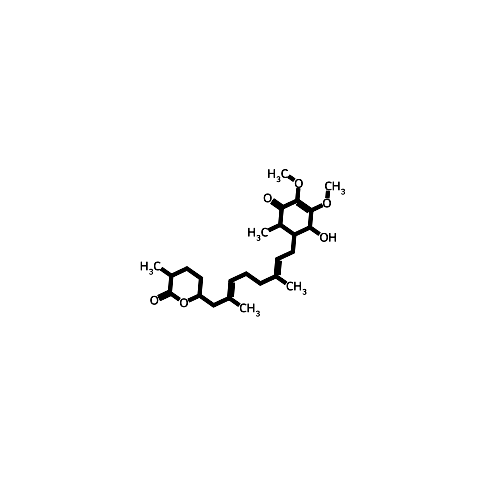 COC1=C(OC)C(O)C(C/C=C(\C)CC/C=C(\C)CC2CCC(C)C(=O)O2)C(C)C1=O